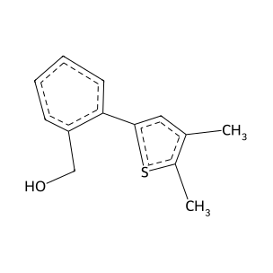 Cc1cc(-c2ccccc2CO)sc1C